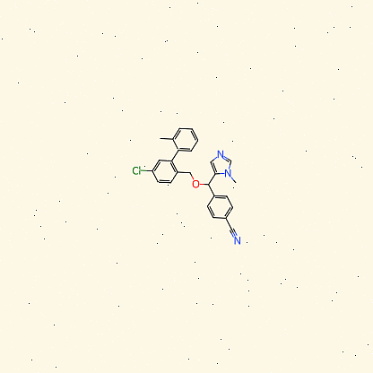 Cc1ccccc1-c1cc(Cl)ccc1COC(c1ccc(C#N)cc1)c1cncn1C